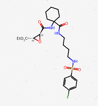 CCOC(=O)[C@H]1O[C@@H]1C(=O)NC1(C(=O)NCCCCNS(=O)(=O)c2ccc(F)cc2)CCCCC1